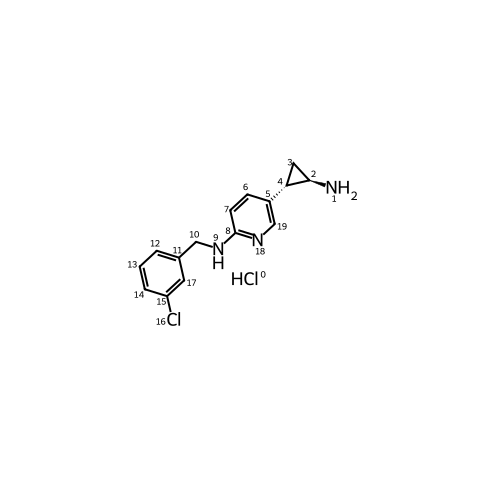 Cl.N[C@@H]1C[C@H]1c1ccc(NCc2cccc(Cl)c2)nc1